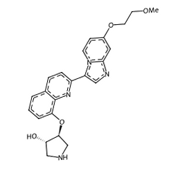 COCCOc1ccn2c(-c3ccc4cccc(O[C@H]5CNC[C@@H]5O)c4n3)cnc2c1